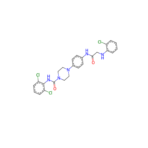 O=C(CNc1ccccc1Cl)Nc1ccc(N2CCN(C(=O)Nc3c(Cl)cccc3Cl)CC2)cc1